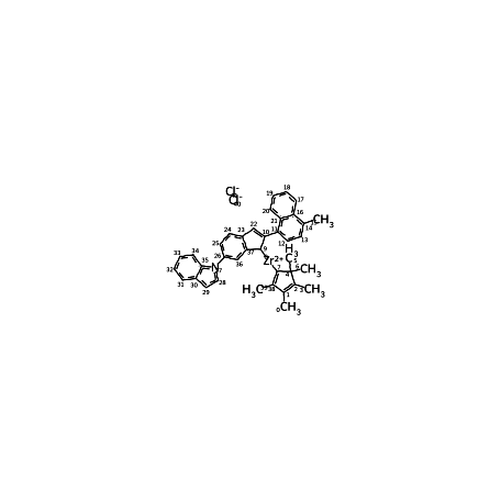 CC1=C(C)C(C)(C)[C]([Zr+2][CH]2C(c3ccc(C)c4ccccc34)=Cc3ccc(-n4ccc5ccccc54)cc32)=C1C.[Cl-].[Cl-]